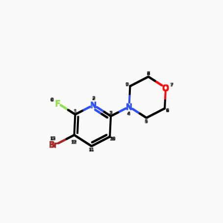 Fc1nc(N2CCOCC2)ccc1Br